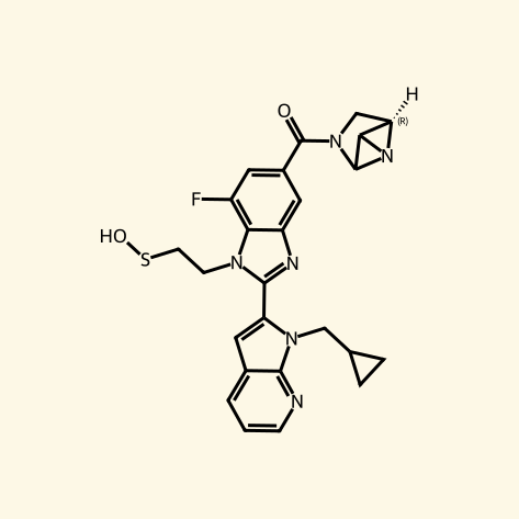 O=C(c1cc(F)c2c(c1)nc(-c1cc3cccnc3n1CC1CC1)n2CCSO)N1C[C@@H]2C3C1N32